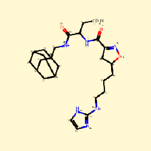 O=C(O)CC(NC(=O)C1=NOC(CCCCNc2ncc[nH]2)C1)C(=O)NCC12CC3CC(CC(C3)C1)C2